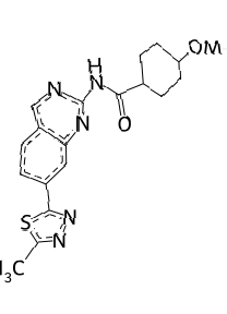 COC1CCC(C(=O)Nc2ncc3ccc(-c4nnc(C)s4)cc3n2)CC1